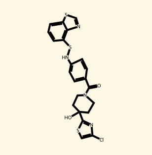 O=C(c1ccc(NSc2cccc3scnc23)cc1)N1CCC(O)(c2nc(Cl)cs2)CC1